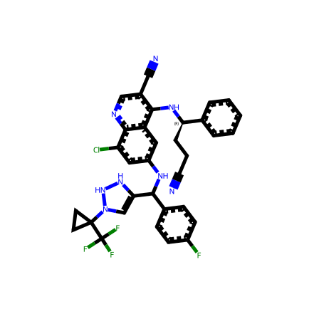 N#CCC[C@@H](Nc1c(C#N)cnc2c(Cl)cc(NC(C3=CN(C4(C(F)(F)F)CC4)NN3)c3ccc(F)cc3)cc12)c1ccccc1